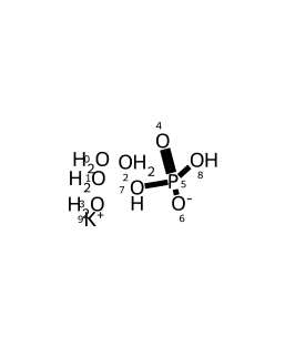 O.O.O.O.O=P([O-])(O)O.[K+]